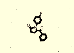 O=C(c1ccccc1)C1CCC(=O)N1c1ccc(F)cc1